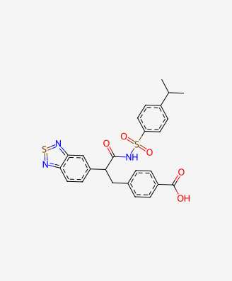 CC(C)c1ccc(S(=O)(=O)NC(=O)C(Cc2ccc(C(=O)O)cc2)c2ccc3nsnc3c2)cc1